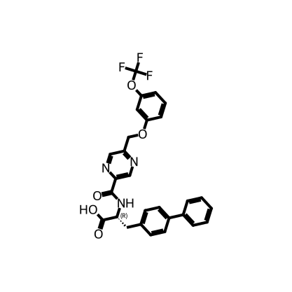 O=C(N[C@H](Cc1ccc(-c2ccccc2)cc1)C(=O)O)c1cnc(COc2cccc(OC(F)(F)F)c2)cn1